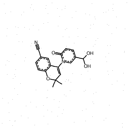 CC1(C)C=C(n2cc(C(O)O)ccc2=O)c2cc(C#N)ccc2O1